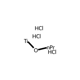 CCC[O][Ti].Cl.Cl.Cl